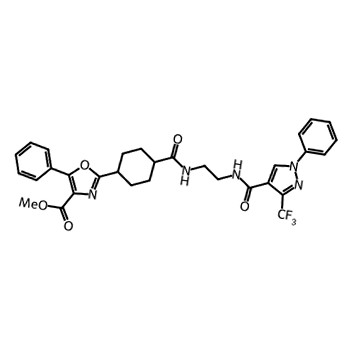 COC(=O)c1nc(C2CCC(C(=O)NCCNC(=O)c3cn(-c4ccccc4)nc3C(F)(F)F)CC2)oc1-c1ccccc1